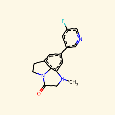 CN1CC(=O)N2CCc3cc(-c4cncc(F)c4)cc1c32